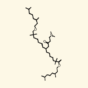 C=C(OCCC(C)CCCC(C)C)C(C)(C)CCCCCC(CCCCCC(C)(C)COCCC(C)CCCC(C)C)CC(=O)CCN(C)C